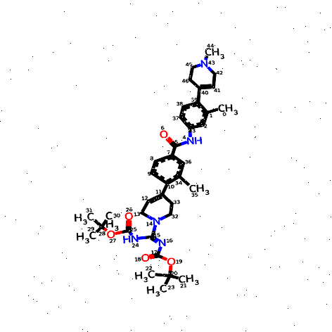 Cc1cc(NC(=O)c2ccc(C3=CCN(C(=NC(=O)OC(C)(C)C)NC(=O)OC(C)(C)C)CC3)c(C)c2)ccc1C1=CCN(C)CC1